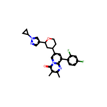 Cc1nc2c(-c3ccc(F)cc3F)cc(C3CCOC(c4cnn(C5CC5)c4)C3)cn2c(=O)c1C